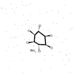 Cl[C@H]1[C@H](Cl)[C@@H](Cl)[C@@H](Cl)[C@H](Cl)[C@H]1Cl.[BiH3]